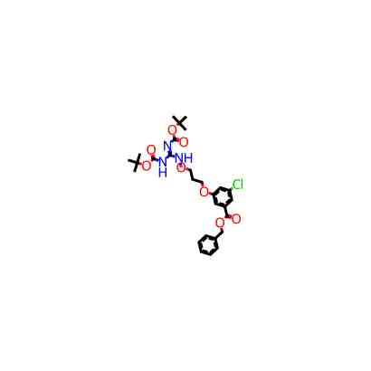 CC(C)(C)OC(=O)/N=C(\NOCCCOc1cc(Cl)cc(C(=O)OCc2ccccc2)c1)NC(=O)OC(C)(C)C